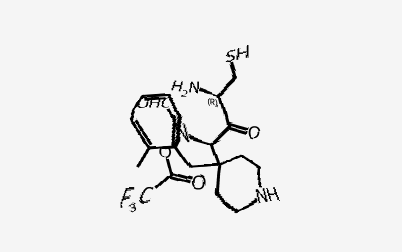 Cc1ccccc1CC1(C(C(=O)[C@@H](N)CS)N(C=O)OC(=O)C(F)(F)F)CCNCC1